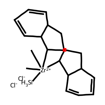 [CH3][Zr+2]([CH3])([SiH3])([CH]1CCC2C=CC=CC21)[CH]1CCC2C=CC=CC21.[Cl-].[Cl-]